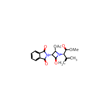 C=C(C)[C@H](C(=O)OC)N1C(=O)[C@@H](N2C(=O)c3ccccc3C2=O)[C@H]1OC(C)=O